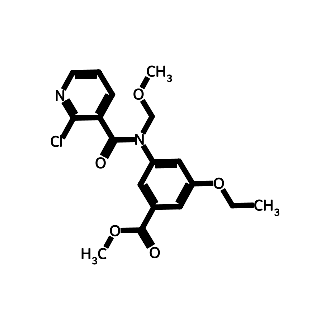 CCOc1cc(C(=O)OC)cc(N(COC)C(=O)c2cccnc2Cl)c1